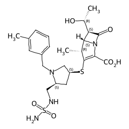 Cc1cccc(CN2C[C@@H](SC3=C(C(=O)O)N4C(=O)[C@H]([C@@H](C)O)[C@H]4[C@H]3C)C[C@H]2CNS(N)(=O)=O)c1